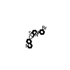 S=c1ccn(-c2cccc(Br)c2)nc1COc1ccc2ncccc2c1